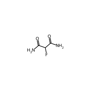 NC(=O)C(F)C(N)=O